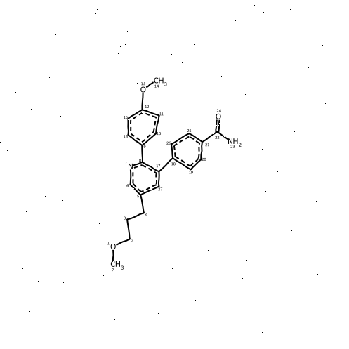 COCCCc1cnc(-c2ccc(OC)cc2)c(-c2ccc(C(N)=O)cc2)c1